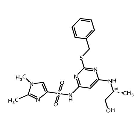 Cc1nc(S(=O)(=O)Nc2cc(N[C@H](C)CO)nc(SCc3ccccc3)n2)cn1C